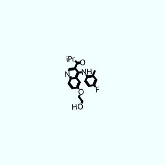 Cc1cc(F)ccc1Nc1c(C(=O)C(C)C)cnc2ccc(OCCO)cc12